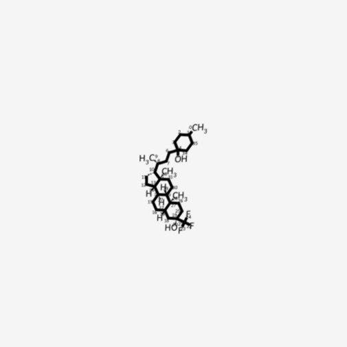 CC1CCC(O)(CC[C@@H](C)[C@H]2CC[C@H]3[C@@H]4CC[C@H]5C[C@](O)(C(F)(F)F)CC[C@]5(C)[C@H]4CC[C@]23C)CC1